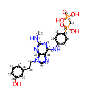 CCNc1nc(Nc2ccc(P(=O)(O)CP(=O)(O)O)cc2)c2ncn(CCc3cccc(O)c3)c2n1